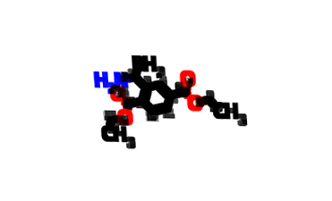 BC(N)c1cc(C(=O)OCC)ccc1C(=O)OCC